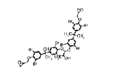 CC(O)C(Oc1c(Br)cc(C(C)(C)c2cc(Br)c(OCC3CO3)c(Br)c2)cc1Br)Oc1c(Br)cc(C(C)(C)c2cc(Br)c(OCC3CO3)c(Br)c2)cc1Br